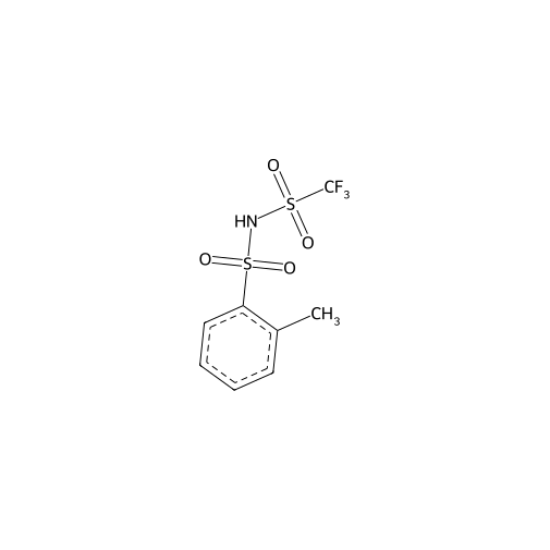 Cc1ccccc1S(=O)(=O)NS(=O)(=O)C(F)(F)F